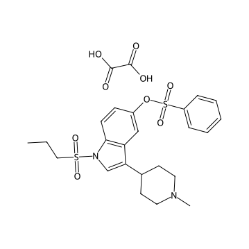 CCCS(=O)(=O)n1cc(C2CCN(C)CC2)c2cc(OS(=O)(=O)c3ccccc3)ccc21.O=C(O)C(=O)O